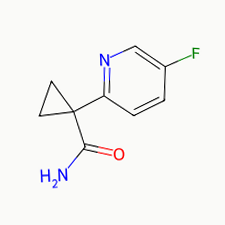 NC(=O)C1(c2ccc(F)cn2)CC1